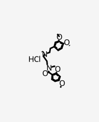 COc1ccc2c(c1)OCN(CCCN(C)CCc1ccc(OC)c(OC)c1)C2=O.Cl